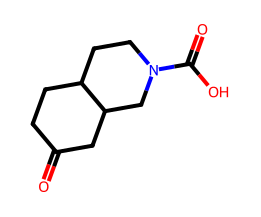 O=C1CCC2CCN(C(=O)O)CC2C1